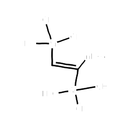 CCCCCCC(=C[Si](C)(C)C)[Si](C)(C)C